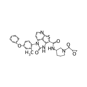 Cc1cc(Oc2ccccc2)ccc1N1C(=O)Nc2c(C(=O)NC3CCCN(C(=O)C4CO4)C3)sc3nccc1c23